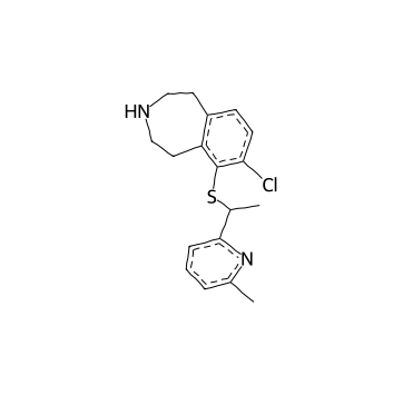 Cc1cccc(C(C)Sc2c(Cl)ccc3c2CCNCC3)n1